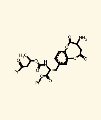 CC(C)OC(=O)[C@H](Cc1ccc2c(c1)OC(=O)CC(N)C(=O)O2)NC(=O)OC(C)CC(=O)C(C)C